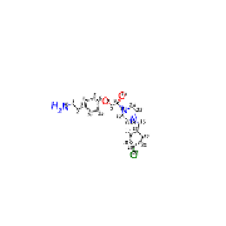 NCCc1ccc(OCC(=O)N2CCN(Cc3ccc(Cl)cc3)CC2)cc1